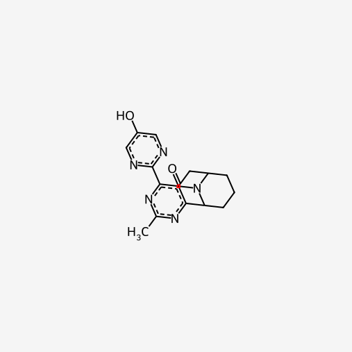 Cc1nc(-c2ncc(O)cn2)c2c(n1)C1CCCC(C2)N1C=O